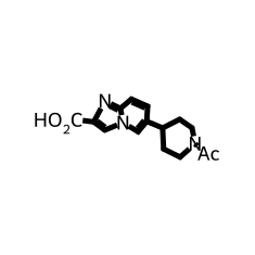 CC(=O)N1CCC(c2ccc3nc(C(=O)O)cn3c2)CC1